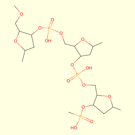 COCC1OC(C)CC1OP(=O)(O)OCC1OC(C)CC1OP(=O)(O)OCC1OC(C)CC1OP(C)(=O)O